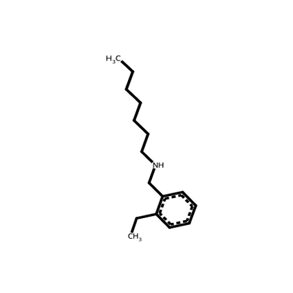 CCCCCCCNCc1ccccc1CC